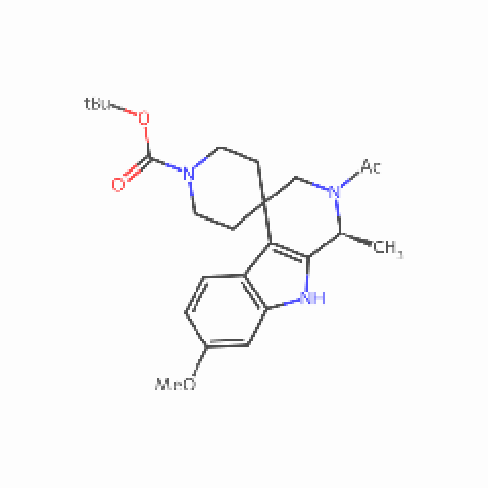 COc1ccc2c3c([nH]c2c1)[C@H](C)N(C(C)=O)CC31CCN(C(=O)OC(C)(C)C)CC1